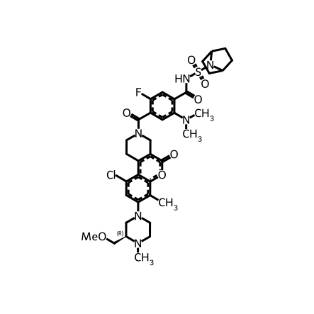 COC[C@H]1CN(c2cc(Cl)c3c4c(c(=O)oc3c2C)CN(C(=O)c2cc(N(C)C)c(C(=O)NS(=O)(=O)N3C5CCC3CC5)cc2F)CC4)CCN1C